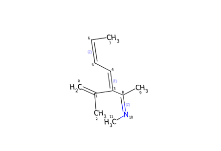 C=C(C)C(=C\C=C/C)/C(C)=N\C